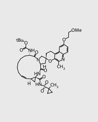 COCCOc1ccc2nc(C)c3c(c2c1)CC[C@]1(C[C@H]2C(=O)N[C@]4(C(=O)NS(=O)(=O)C5(C)CC5)C[C@H]4/C=C\CCCCC[C@H](NC(=O)OC(C)(C)C)C(=O)N2C1)O3